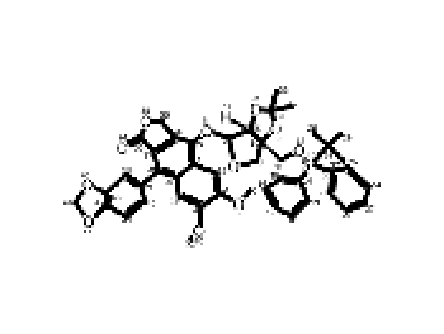 COc1cc2c(OC3OC[C@@]4(CO[Si](c5ccccc5)(c5ccccc5)C(C)(C)C)OC(C)(C)O[C@@H]34)c3c(c(-c4ccc5c(c4)OCO5)c2cc1OC)C(=O)OC3